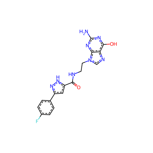 Nc1nc(O)c2ncn(CCNC(=O)c3cc(-c4ccc(F)cc4)n[nH]3)c2n1